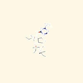 CC[Si](C)(C)OC[C@H]1O[C@@H](n2cnc(N)nc2=O)[C@H](O[Si](C)(C)CC)[C@@H]1O[Si](C)(C)CC